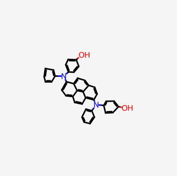 Oc1ccc(N(c2ccccc2)c2ccc3ccc4c(N(c5ccccc5)c5ccc(O)cc5)ccc5ccc2c3c54)cc1